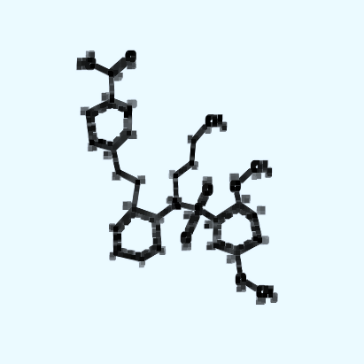 CCCCN(c1ccccc1CCc1ccc(C(=O)O)cc1)S(=O)(=O)c1cc(OC)ccc1OC